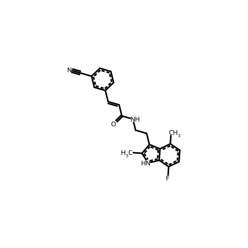 Cc1[nH]c2c(F)ccc(C)c2c1CCNC(=O)C=Cc1cccc(C#N)c1